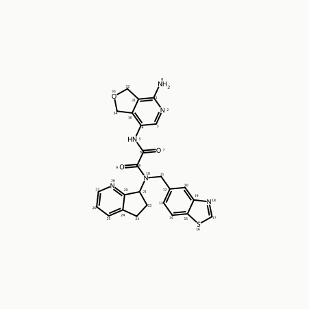 Nc1ncc(NC(=O)C(=O)N(Cc2ccc3scnc3c2)C2CCc3cccnc32)c2c1COC2